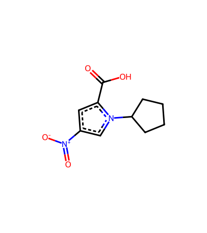 O=C(O)c1cc([N+](=O)[O-])cn1C1CCCC1